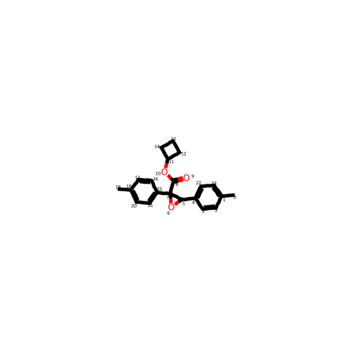 Cc1ccc(C2OC2(C(=O)OC2CCC2)c2ccc(C)cc2)cc1